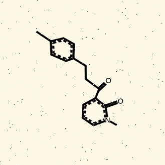 Cc1ccc(CCC(=O)c2cccn(C)c2=O)cc1